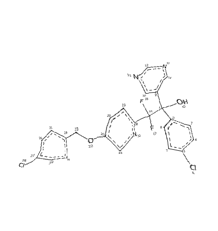 OC(c1ccc(Cl)cc1)(c1cncnc1)C(F)(F)c1ccc(OCc2ccc(Cl)cc2)cn1